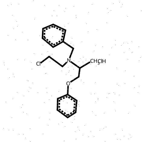 CC(COc1ccccc1)N(CCCl)Cc1ccccc1.Cl